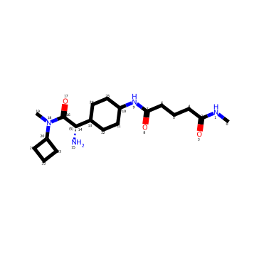 CNC(=O)CCCC(=O)NC1CCC([C@H](N)C(=O)N(C)C2CCC2)CC1